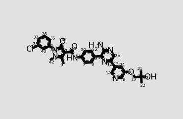 Cc1c(C(=O)Nc2ccc(-c3nc(-c4cncc(OCC(C)(C)O)c4)cnc3N)cc2)c(=O)n(-c2cccc(Cl)c2)n1C